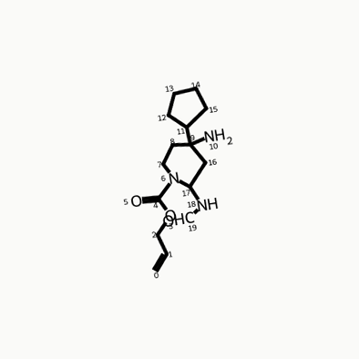 C=CCOC(=O)N1CCC(N)(C2CCCC2)CC1NC=O